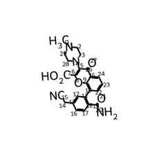 CN1CCN(c2c(C(=O)O)oc3c(-c4cc(CC#N)ccc4C(N)=O)cccc3c2=O)CC1